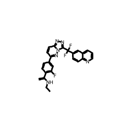 C=C(NCC)c1ccc(-c2ccc3nnc(C(F)(F)c4ccc5ncccc5c4)n3n2)cc1F